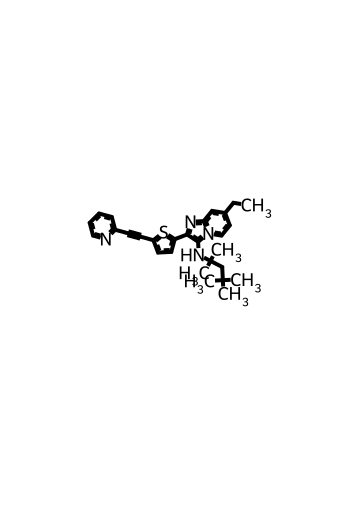 CCc1ccn2c(NC(C)(C)CC(C)(C)C)c(-c3ccc(C#Cc4ccccn4)s3)nc2c1